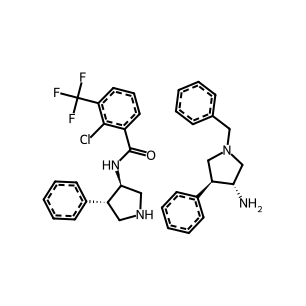 N[C@H]1CN(Cc2ccccc2)C[C@@H]1c1ccccc1.O=C(N[C@H]1CNC[C@@H]1c1ccccc1)c1cccc(C(F)(F)F)c1Cl